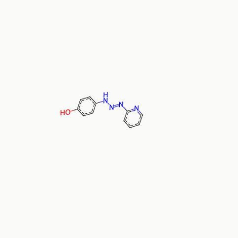 Oc1ccc(NN=Nc2ccccn2)cc1